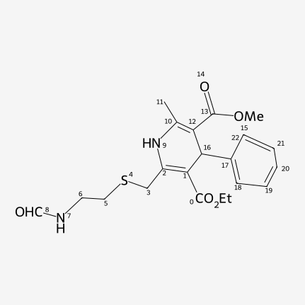 CCOC(=O)C1=C(CSCCNC=O)NC(C)=C(C(=O)OC)C1c1ccccc1